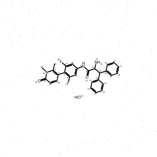 Cc1c(-c2c(F)cc(NC(=O)C(N)C(c3ccccc3)c3ccccc3)cc2F)ccc(=O)n1C.Cl